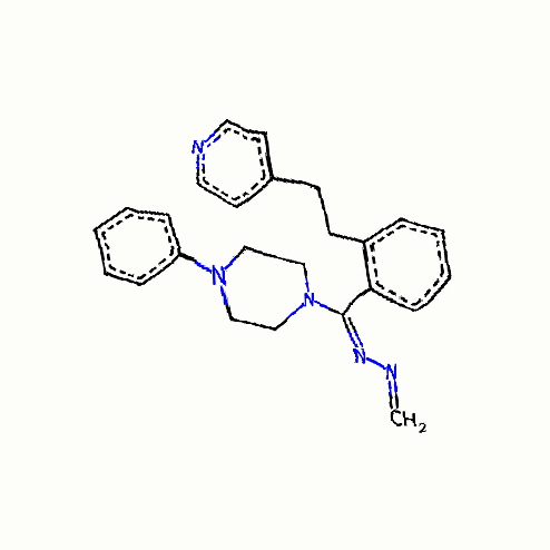 C=N/N=C(\c1ccccc1CCc1ccncc1)N1CCN(c2ccccc2)CC1